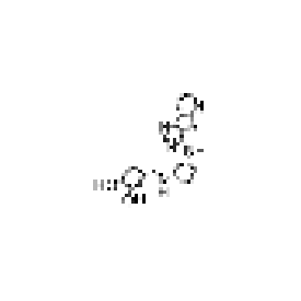 Oc1ccc(CNc2cccc(Nc3ncnc4c3sc3ncccc34)c2)cc1O